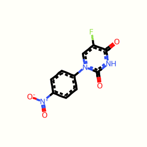 O=c1[nH]c(=O)n(-c2ccc([N+](=O)[O-])cc2)cc1F